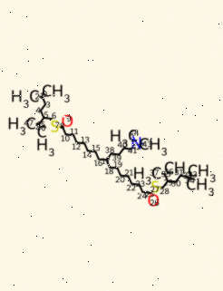 CC(C)CCC(CSC(=O)CCCCCCCC(CCCCCCCC(=O)SCC(CCC(C)C)C(C)C)CCCCN(C)C)C(C)C